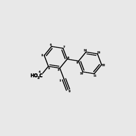 C#Cc1c(C(=O)O)cccc1-c1ccccc1